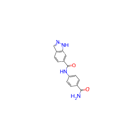 NC(=O)c1ccc(NC(=O)c2ccc3cn[nH]c3c2)cc1